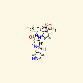 C=CCn1c(=O)c2cnc(NC3CCNCC3)nc2n1-c1cccc(C(C)(C)O)n1